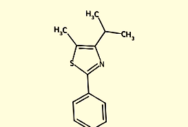 Cc1sc(-c2ccccc2)nc1C(C)C